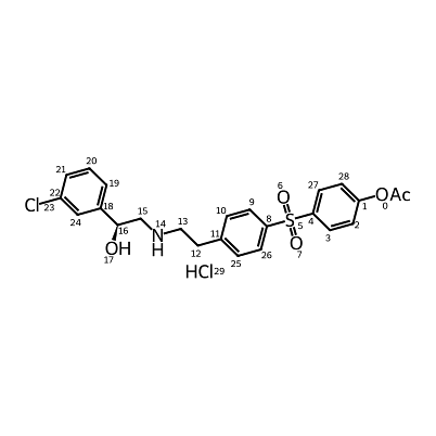 CC(=O)Oc1ccc(S(=O)(=O)c2ccc(CCNC[C@@H](O)c3cccc(Cl)c3)cc2)cc1.Cl